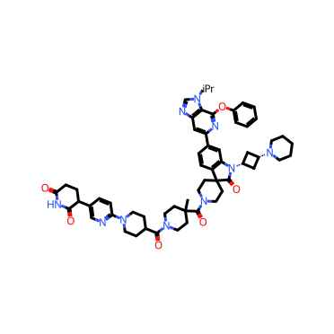 CC(C)n1cnc2cc(-c3ccc4c(c3)N([C@H]3C[C@@H](N5CCCCC5)C3)C(=O)C43CCN(C(=O)C4(C)CCN(C(=O)C5CCN(c6ccc(C7CCC(=O)NC7=O)cn6)CC5)CC4)CC3)nc(Oc3ccccc3)c21